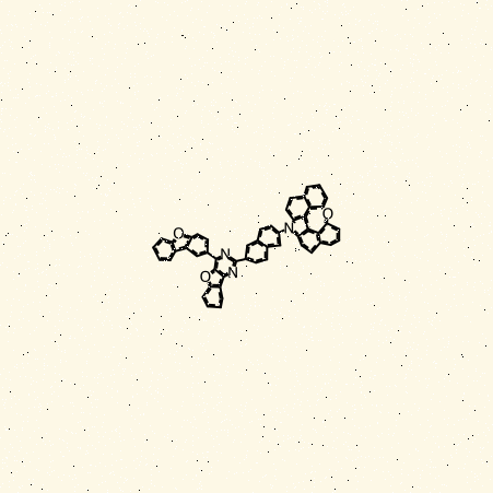 c1ccc2c(c1)oc1ccc(-c3nc(-c4ccc5cc(-n6c7ccc8cccc9oc%10cccc%11ccc6c(c%11%10)c7c89)ccc5c4)nc4c3oc3ccccc34)cc12